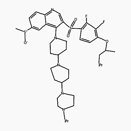 CC(C)CC(C)Oc1ccc(S(=O)(=O)c2cnc3ccc([S+](C)[O-])cc3c2N2CCC(N3CCC(N4CCN(C(C)C)CC4)CC3)CC2)c(F)c1F